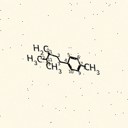 C=C(CCc1ccc(C)cc1)C(C)C